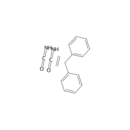 C=C.N=C=O.N=C=O.c1ccc(Cc2ccccc2)cc1